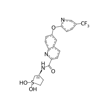 O=C(N[C@H]1CCS(O)(O)C1)c1ccc2cc(Oc3ccc(C(F)(F)F)cn3)ccc2n1